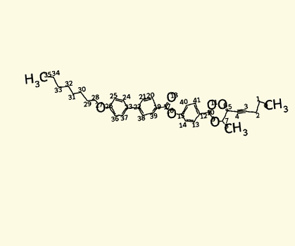 CCCC#CC(=O)C(C)OC(=O)c1ccc(OC(=O)c2ccc(-c3ccc(OCCCCCCCC)cc3)cc2)cc1